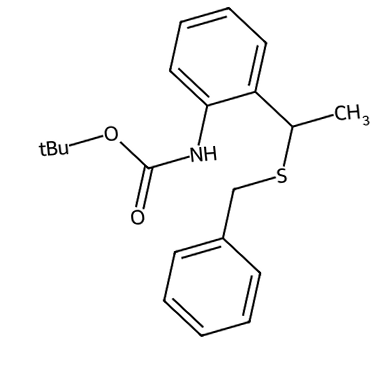 CC(SCc1ccccc1)c1ccccc1NC(=O)OC(C)(C)C